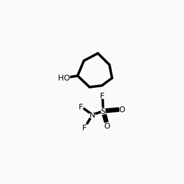 O=S(=O)(F)N(F)F.OC1CCCCCC1